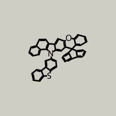 c1ccc2c(c1)Oc1cc3c4ccc5ccccc5c4n(-c4ccc5sc6ccccc6c5c4)c3cc1C21c2ccccc2-c2ccccc21